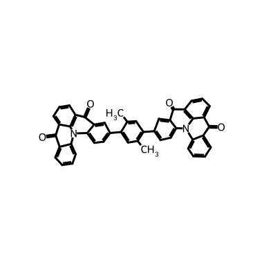 Cc1cc(-c2ccc3c(c2)c(=O)c2cccc4c(=O)c5ccccc5n3c42)c(C)cc1-c1ccc2c(c1)c(=O)c1cccc3c(=O)c4ccccc4n2c31